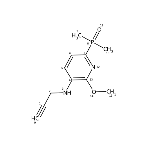 C#CCNc1ccc(P(C)(C)=O)nc1OC